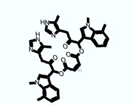 Cc1[nH]cnc1CC(=O)C(OC(=O)/C=C\C(=O)OC(C(=O)Cc1nc[nH]c1C)c1cn(C)c2c(C)cccc12)c1cn(C)c2c(C)cccc12